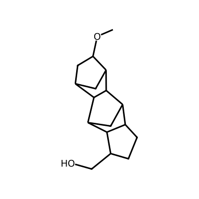 COC1CC2CC1C1C3CC(C4C(CO)CCC34)C21